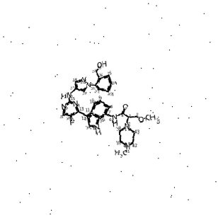 COCC(C(=O)Nc1cccc2c(-c3nc(Nc4cnn(-c5ccccc5CO)c4)ncc3F)c[nH]c12)N1CCN(C)CC1